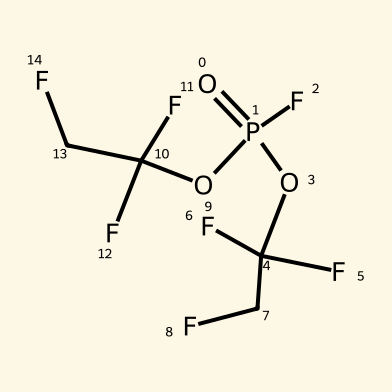 O=P(F)(OC(F)(F)CF)OC(F)(F)CF